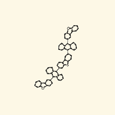 c1ccc2c(c1)oc1ccc(-c3c4ccccc4c(-c4ccc5c(c4)sc4ccc(-c6c7ccccc7c(-c7ccc8oc9ccccc9c8c7)c7ccccc67)cc45)c4ccccc34)cc12